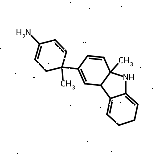 CC1(C2=CC3C4=CCCC=C4NC3(C)C=C2)C=CC(N)=CC1